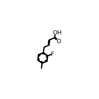 Cc1ccc(CC=CC(=O)O)c(F)c1